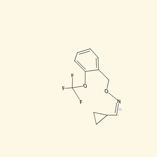 FC(F)(F)Oc1ccccc1CO/N=[C]\C1CC1